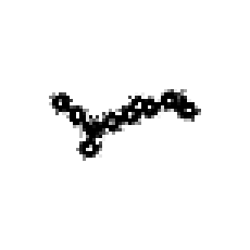 c1ccc(-c2ccc(-c3nc(-c4ccccc4)nc(-c4ccc(-c5ccc6c(ccc7cc(-c8ccc9sc%10ccccc%10c9c8)ccc76)c5)cc4)n3)cc2)cc1